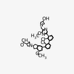 COc1cc(-c2cccc(-c3cccc(-c4cnc(CN5CC(O)C5)c(OC)n4)c3Cl)c2Cl)cc2c1C[C@H](N1CC(C(C)=O)C1)C2